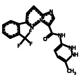 CC1=CC=C(NC(=O)c2cnc3ccc(-c4ccccc4C(F)(F)F)nn23)NN1